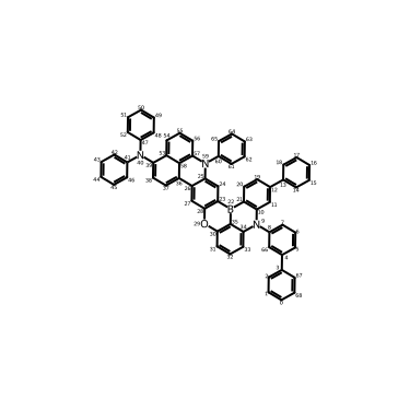 c1ccc(-c2cccc(N3c4cc(-c5ccccc5)ccc4B4c5cc6c(cc5Oc5cccc3c54)-c3ccc(N(c4ccccc4)c4ccccc4)c4cccc(c34)N6c3ccccc3)c2)cc1